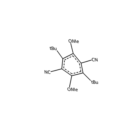 COc1c(C#N)c(C(C)(C)C)c(OC)c(C#N)c1C(C)(C)C